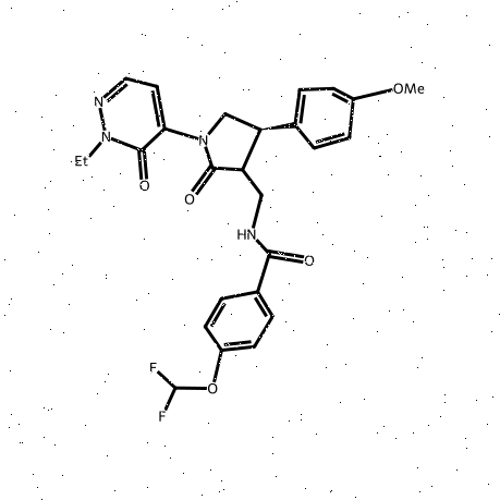 CCn1nccc(N2C[C@@H](c3ccc(OC)cc3)C(CNC(=O)c3ccc(OC(F)F)cc3)C2=O)c1=O